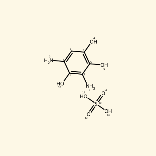 Nc1cc(O)c(O)c(N)c1O.O=S(=O)(O)O